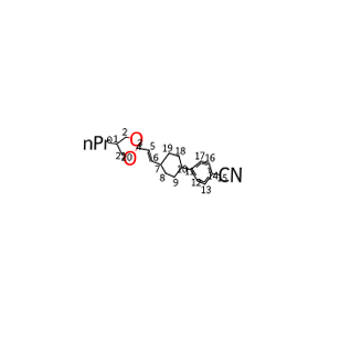 CCCC1COC(/C=C/C2CCC(c3ccc(C#N)cc3)CC2)OC1